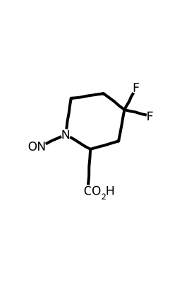 O=NN1CCC(F)(F)CC1C(=O)O